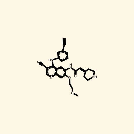 C#Cc1cccc(Nc2c(C#N)cnc3cc(OCCOC)c(NC(=O)C=C4CCNCC4)cc23)c1